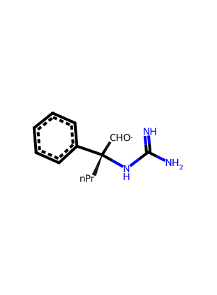 CCC[C@@]([C]=O)(NC(=N)N)c1ccccc1